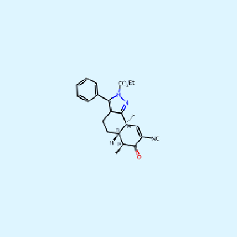 [C-]#[N+]C1=C[C@]2(C)c3nn(C(=O)OCC)c(-c4ccccc4)c3CC[C@H]2[C@H](C)C1=O